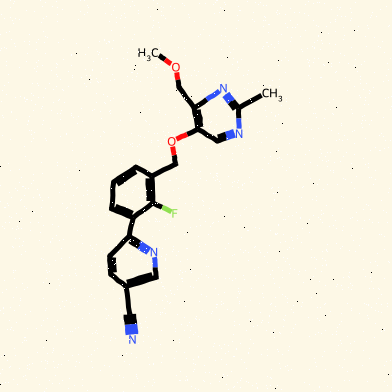 COCc1nc(C)ncc1OCc1cccc(-c2ccc(C#N)cn2)c1F